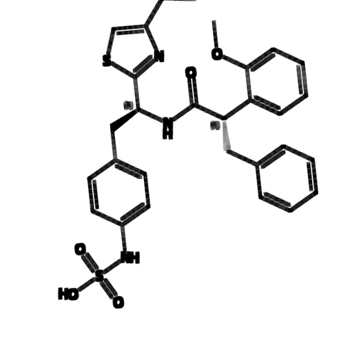 CCc1csc([C@H](Cc2ccc(NS(=O)(=O)O)cc2)NC(=O)[C@@H](Cc2ccccc2)c2ccccc2OC)n1